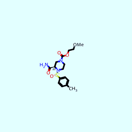 COCCOC(=O)N1CCN([S+]([O-])c2ccc(C)cc2)[C@@H](C(N)=O)C1